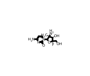 C[C@]1(N)C(n2ccc(N)nc2=O)O[C@](F)(CO)[C@H]1O